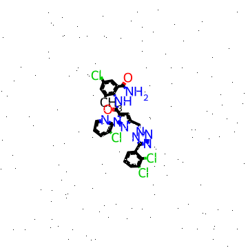 Cc1cc(Cl)cc(C(N)=O)c1NC(=O)c1cc(Cn2nnc(-c3cccc(Cl)c3Cl)n2)nn1-c1ncccc1Cl